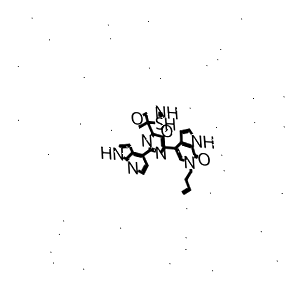 C=CCCn1cc(-c2cc(C3([SH](=N)=O)COC3)nc(-c3ccnc4[nH]ccc34)n2)c2cc[nH]c2c1=O